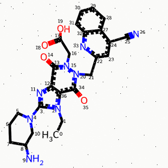 CCn1c(N2CCCC(N)C2)nc2c(=O)n(CC(=O)O)n(Cc3cc(C#N)c4ccccc4n3)c(=O)c21